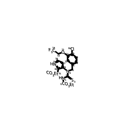 CCOC(=O)NC(=S)N(Cc1ccc(Cl)c(OCC(F)(F)F)c1)c1cc[nH]c1C(=O)OCC